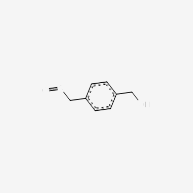 O=[S+]Cc1ccc(CO)cc1